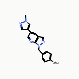 COc1ccc(Cn2ncc3cc(-c4cnn(C)c4)cnc32)cc1